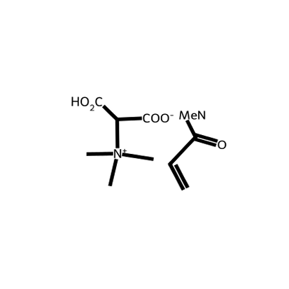 C=CC(=O)NC.C[N+](C)(C)C(C(=O)[O-])C(=O)O